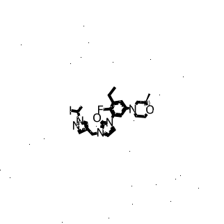 CCc1cc(N2CCO[C@H](C)C2)cc(-n2ccn(Cc3cnn(C(C)I)c3)c2=O)c1F